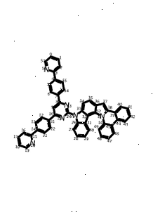 c1ccc(-c2ccc(-c3cc(-c4ccc(-c5ccccn5)cc4)nc(-n4c5ccccc5c5c4ccc4cc6c7ccccc7c7ccccc7n6c45)n3)cc2)nc1